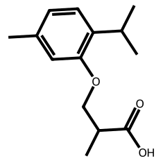 Cc1ccc(C(C)C)c(OCC(C)C(=O)O)c1